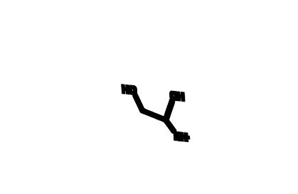 [NH]C(O)CO